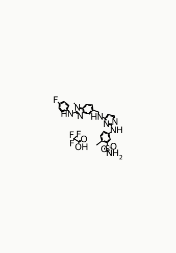 Cc1ccc(Nc2nccc(NCc3ccc4c(c3)nc(Nc3ccc(F)cc3)n4C)n2)cc1S(N)(=O)=O.O=C(O)C(F)(F)F